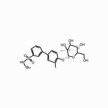 Cc1cc(-c2cccc(S(=O)(=O)NC(C)(C)C)c2)ccc1O[C@H]1OC(CO)[C@@H](O)C(O)[C@]1(C)O